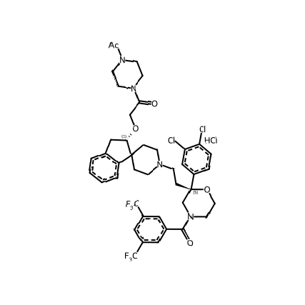 CC(=O)N1CCN(C(=O)CO[C@H]2Cc3ccccc3C23CCN(CC[C@]2(c4ccc(Cl)c(Cl)c4)CN(C(=O)c4cc(C(F)(F)F)cc(C(F)(F)F)c4)CCO2)CC3)CC1.Cl